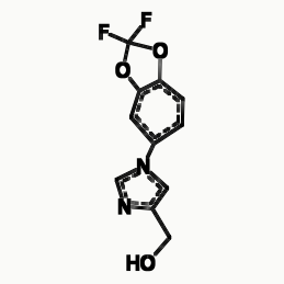 OCc1cn(-c2ccc3c(c2)OC(F)(F)O3)cn1